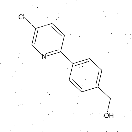 OCc1ccc(-c2ccc(Cl)cn2)cc1